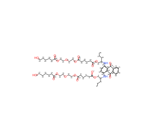 CCCC(COC(=O)CCCCC(=O)OCCOCCOC(=O)CCCCCO)Nc1ccc(NC(CCC)COC(=O)CCCCC(=O)OCCOCCOC(=O)CCCCCO)c2c1C(=O)c1ccccc1C2=O